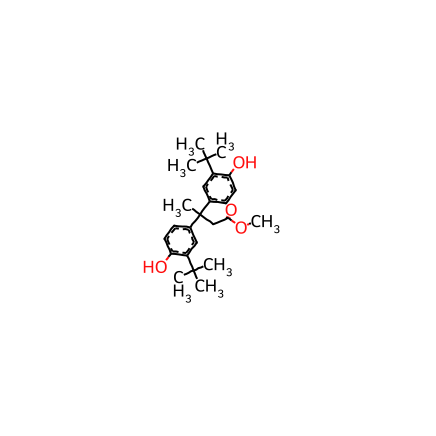 COC(=O)CC(C)(c1ccc(O)c(C(C)(C)C)c1)c1ccc(O)c(C(C)(C)C)c1